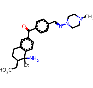 CCC1(N)c2ccc(C(=O)c3ccc(C=NN4CCN(C)CC4)cc3)cc2CCC1CC(=O)O